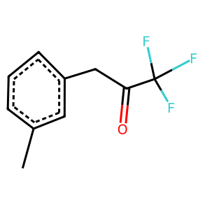 Cc1cccc(CC(=O)C(F)(F)F)c1